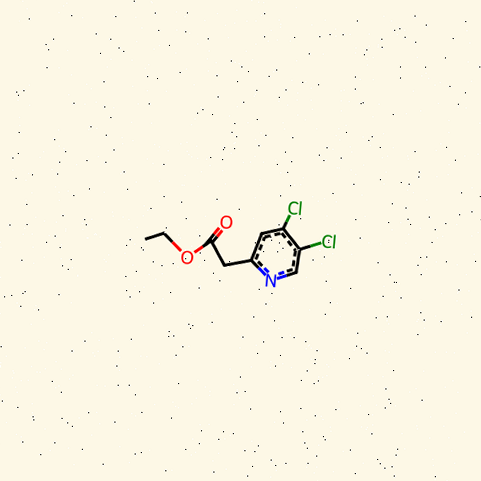 CCOC(=O)Cc1cc(Cl)c(Cl)cn1